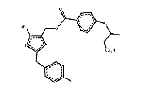 CCCn1nc(Cc2ccc(C)cc2)cc1COC(=O)c1ccc(SC(C)CC(=O)O)cc1